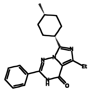 CCc1nc([C@H]2CC[C@@H](C)CC2)n2nc(-c3ccccc3)[nH]c(=O)c12